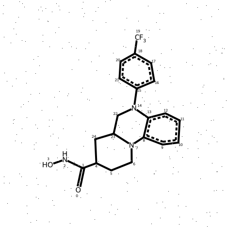 O=C(NO)C1CCN2c3ccccc3N(c3ccc(C(F)(F)F)cc3)CC2C1